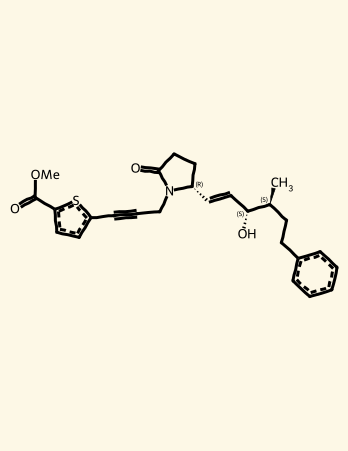 COC(=O)c1ccc(C#CCN2C(=O)CC[C@@H]2C=C[C@@H](O)[C@@H](C)CCc2ccccc2)s1